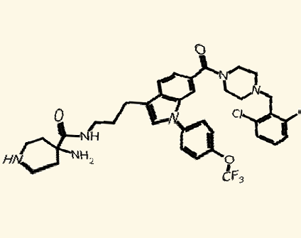 NC1(C(=O)NCCCc2cn(-c3ccc(OC(F)(F)F)cc3)c3cc(C(=O)N4CCN(Cc5c(Cl)cccc5Cl)CC4)ccc23)CCNCC1